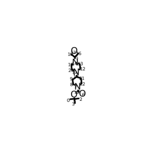 CC(C)(C)OC(=O)N1CCC(N2CCN(C3COC3)CC2)CC1